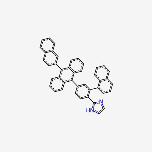 c1ccc2cc(-c3c4ccccc4c(-c4ccc(-c5ncc[nH]5)c(-c5cccc6ccccc56)c4)c4ccccc34)ccc2c1